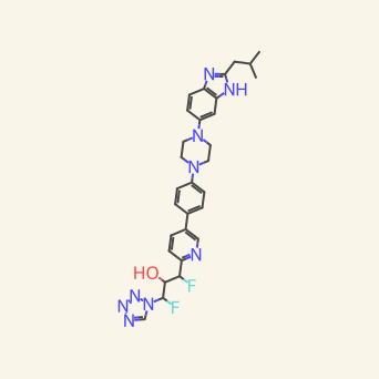 CC(C)Cc1nc2ccc(N3CCN(c4ccc(-c5ccc(C(F)C(O)C(F)n6cnnn6)nc5)cc4)CC3)cc2[nH]1